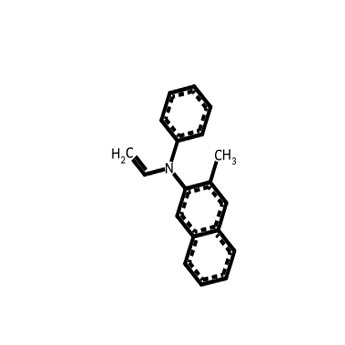 C=CN(c1ccccc1)c1cc2ccccc2cc1C